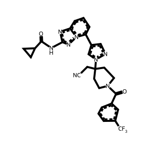 N#CCC1(n2cc(-c3cccc4nc(NC(=O)C5CC5)nn34)cn2)CCN(C(=O)c2cccc(C(F)(F)F)c2)CC1